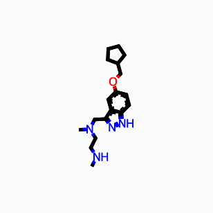 CNCCN(C)Cc1n[nH]c2ccc(OCC3CCCC3)cc12